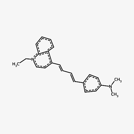 CC[n+]1ccc(C=CC=Cc2ccc(N(C)C)cc2)c2ccccc21